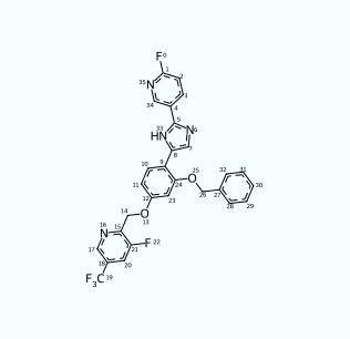 Fc1ccc(-c2ncc(-c3ccc(OCc4ncc(C(F)(F)F)cc4F)cc3OCc3ccccc3)[nH]2)cn1